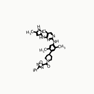 Cc1cc(Nc2nc(Nc3cc(C)c(C4CCN(C(=O)c5nc(C(C)C)no5)CC4)cc3C)ncc2Cl)n[nH]1